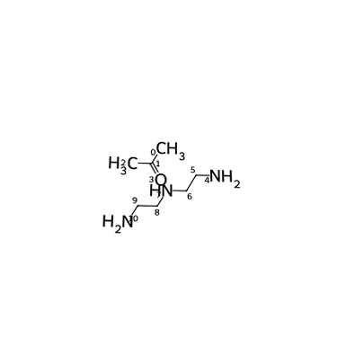 CC(C)=O.NCCNCCN